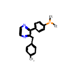 CCP(CC)c1ccc(-c2nccnc2Cc2ccc(C(F)(F)F)cc2)cc1